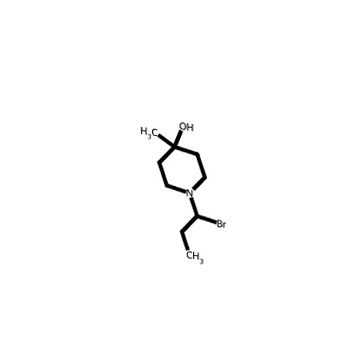 CCC(Br)N1CCC(C)(O)CC1